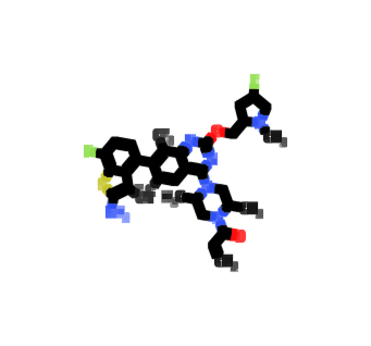 C=CC(=O)N1CC(C)N(c2nc(OCC3CC(F)CN3C)nc3c(C(F)(F)F)c(-c4ccc(F)c5sc(N)c(C#N)c45)c(C(F)(F)F)cc23)CC1C